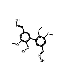 COc1cc(/C=N/O)cc(-c2cc(/C=N/O)cc(OC)c2OS)c1OC